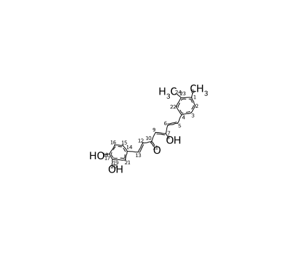 Cc1ccc(/C=C/C(O)=C/C(=O)/C=C/c2ccc(O)c(O)c2)cc1C